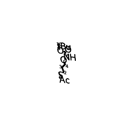 CC(=O)SCCCONC(=O)OC(C)(C)C